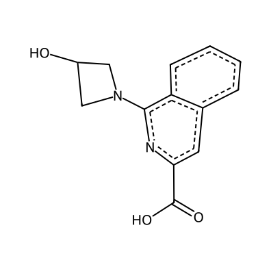 O=C(O)c1cc2ccccc2c(N2CC(O)C2)n1